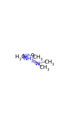 C=N/C(N)=C\C=C/Cc1cccc(C)c1CCCC1=CC2=C(CCN(C(CCC)CCCCCC)C2)C1